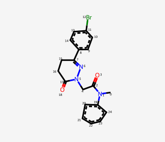 CN(C(=O)CN1N=C(c2ccc(Br)cc2)CCC1=O)c1ccccc1